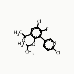 CC(=O)c1cc(Cl)c(F)c(-c2ccc(Cl)nc2)c1OC(C)C